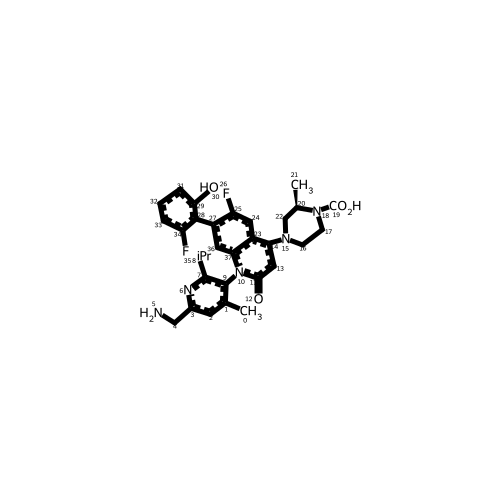 Cc1cc(CN)nc(C(C)C)c1-n1c(=O)cc(N2CCN(C(=O)O)[C@H](C)C2)c2cc(F)c(-c3c(O)cccc3F)cc21